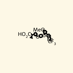 COc1ccc(C2CCN(CC(F)(F)C(F)(F)F)CC2)c(O[C@H]2CC[C@H](Oc3cccc(C(CC(=O)O)C4CC4)c3)CC2)c1